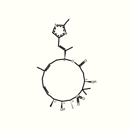 CC1=CC[C@@H](C(C)=Cc2csc(C)n2)OC(=O)C[C@@H](O)C(C)(C)S(=O)(=O)[C@H](C)[C@@H](O)[C@@H](C)C=CC1